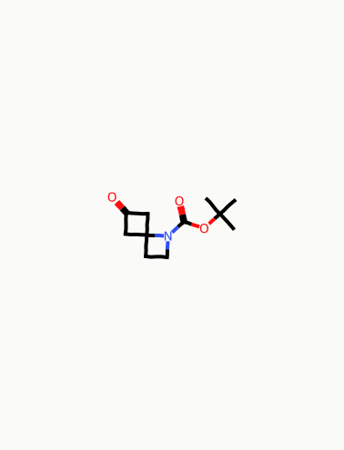 CC(C)(C)OC(=O)N1CCC12CC(=O)C2